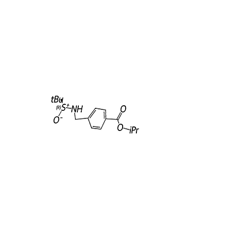 CC(C)OC(=O)c1ccc(CN[S@@+]([O-])C(C)(C)C)cc1